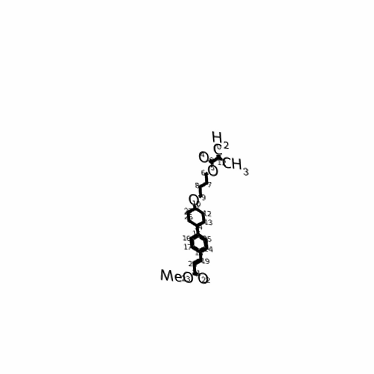 C=C(C)C(=O)OCCCCOC1CCC(c2ccc(C=CC(=O)OC)cc2)CC1